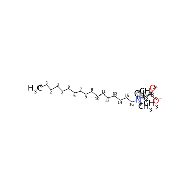 CCCCCCCCCCCCCCCCC[N+](C)(C)C(C)(C)C(=O)[O-]